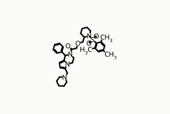 Cc1cc(C)c(S(=O)(=O)N2CCCCC2COCC(=O)N2CCn3c(CN4CCCCC4)ccc3C2c2ccccc2)c(C)c1